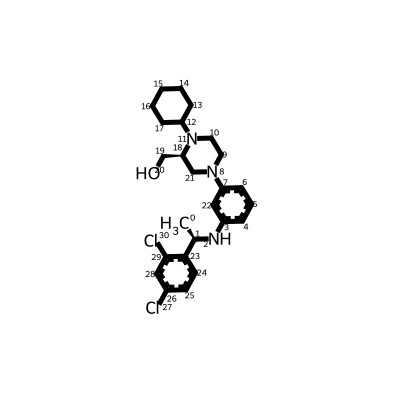 C[C@@H](Nc1cccc(N2CCN(C3CCCCC3)[C@H](CO)C2)c1)c1ccc(Cl)cc1Cl